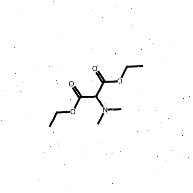 CCOC(=O)C(C(=O)OCC)N(C)C